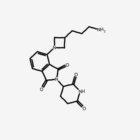 NCCCC1CN(c2cccc3c2C(=O)N(C2CCC(=O)NC2=O)C3=O)C1